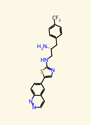 N[C@@H](CNc1ncc(-c2ccc3nnccc3c2)s1)Cc1ccc(C(F)(F)F)cc1